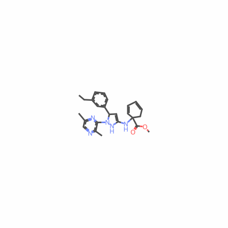 CCc1cccc(C2C=C(NC3(C(=O)OC)C=CC=CC3)NN2c2nc(C)cnc2C)c1